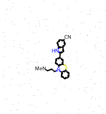 CNCCCN1c2ccccc2Sc2cc(-c3cc4cc(C#N)ccc4[nH]3)ccc21